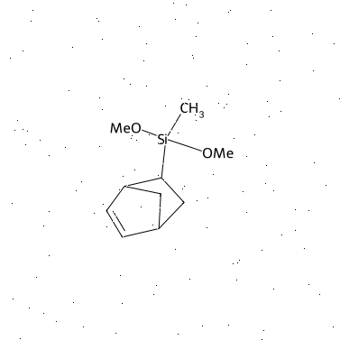 CO[Si](C)(OC)C1CC2C=CC1C2